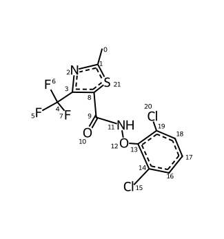 Cc1nc(C(F)(F)F)c(C(=O)NOc2c(Cl)cccc2Cl)s1